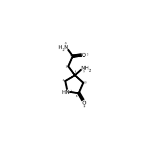 NC(=O)CC1(N)CNC(=O)C1